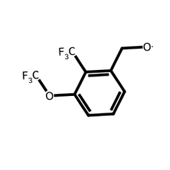 [O]Cc1cccc(OC(F)(F)F)c1C(F)(F)F